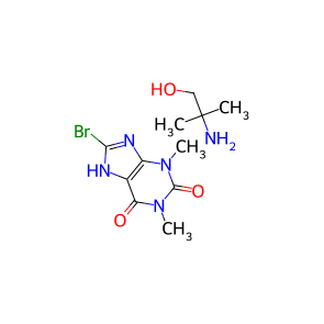 CC(C)(N)CO.Cn1c(=O)c2[nH]c(Br)nc2n(C)c1=O